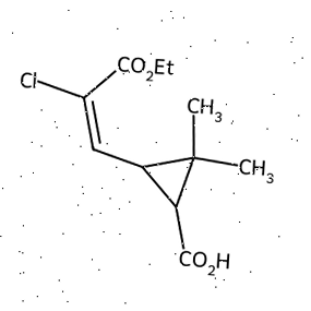 CCOC(=O)/C(Cl)=C\C1C(C(=O)O)C1(C)C